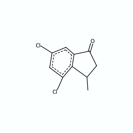 CC1CC(=O)c2cc(Cl)cc(Cl)c21